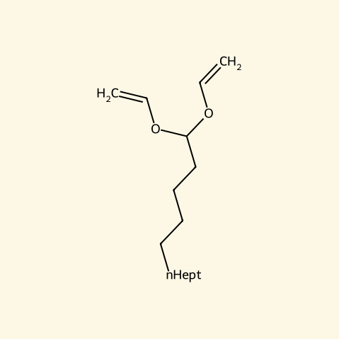 C=COC(CCCCCCCCCCC)OC=C